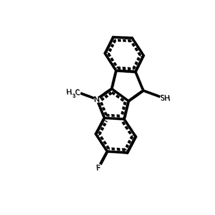 Cn1c2c(c3ccc(F)cc31)C(S)c1ccccc1-2